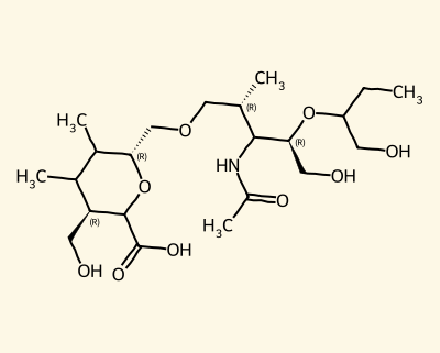 CCC(CO)O[C@@H](CO)C(NC(C)=O)[C@@H](C)COC[C@@H]1OC(C(=O)O)[C@@H](CO)C(C)C1C